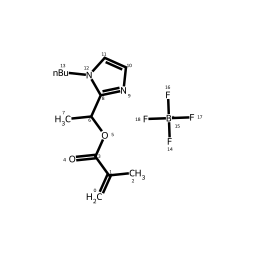 C=C(C)C(=O)OC(C)c1nccn1CCCC.F[B-](F)(F)F